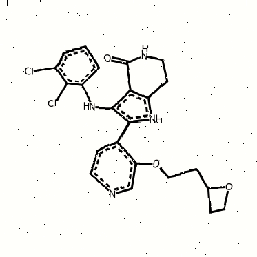 O=C1NCCc2[nH]c(-c3ccncc3OCCC3CCO3)c(Nc3cccc(Cl)c3Cl)c21